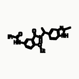 CCOc1ccc(NC(=O)C(C)C)cc1C(=O)NC(C)c1ccc2[nH]c(C)nc2c1